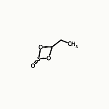 CCC1OS(=O)O1